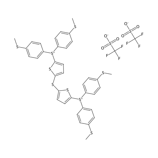 CSc1ccc([S+](c2ccc(SC)cc2)c2ccc(Sc3ccc([S+](c4ccc(SC)cc4)c4ccc(SC)cc4)s3)s2)cc1.O=S(=O)([O-])C(F)(F)F.O=S(=O)([O-])C(F)(F)F